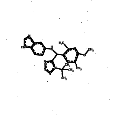 COc1cc(C)c(C(Nc2ccc3[nH]cnc3c2)c2nnnn2C(C)(C)C)cc1C